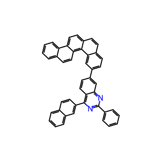 c1ccc(-c2nc(-c3ccc4ccccc4c3)c3ccc(-c4ccc5ccc6ccc7c8ccccc8ccc7c6c5c4)cc3n2)cc1